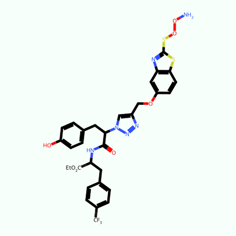 CCOC(=O)C(Cc1ccc(C(F)(F)F)cc1)NC(=O)C(Cc1ccc(O)cc1)n1cc(COc2ccc3sc(SOON)nc3c2)nn1